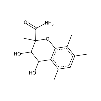 Cc1cc(C)c2c(c1C)OC(C)(C(N)=O)C(O)C2O